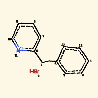 Br.c1ccc(Cc2ccccn2)cc1